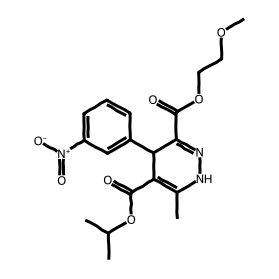 COCCOC(=O)C1=NNC(C)=C(C(=O)OC(C)C)C1c1cccc([N+](=O)[O-])c1